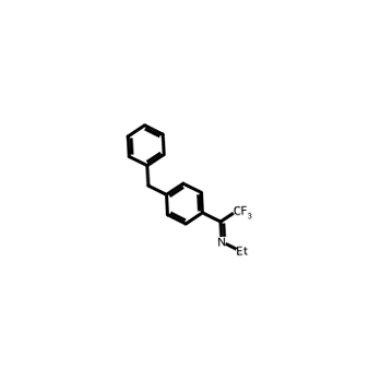 CC/N=C(/c1ccc(Cc2ccccc2)cc1)C(F)(F)F